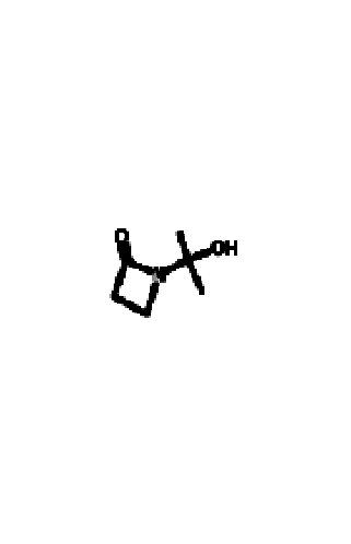 CC(C)(O)N1CCC1=O